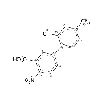 O=C(O)c1cc(-c2ccc(C(F)(F)F)cc2Cl)ccc1[N+](=O)[O-]